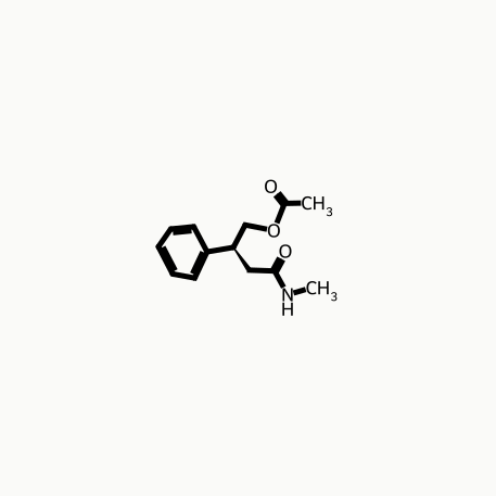 CNC(=O)C[C@H](COC(C)=O)c1ccccc1